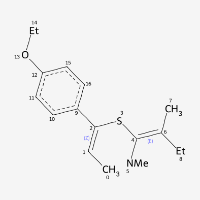 C/C=C(\S/C(NC)=C(\C)CC)c1ccc(OCC)cc1